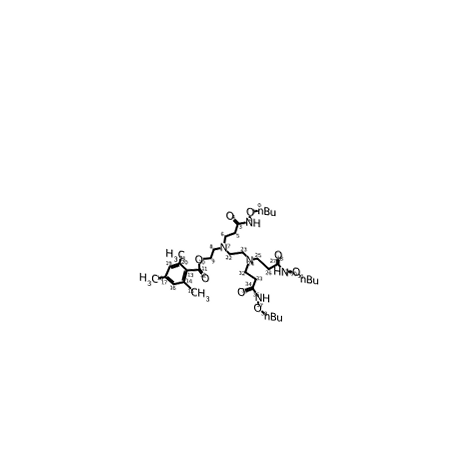 CCCCONC(=O)CCN(CCOC(=O)c1c(C)cc(C)cc1C)CCN(CCC(=O)NOCCCC)CCC(=O)NOCCCC